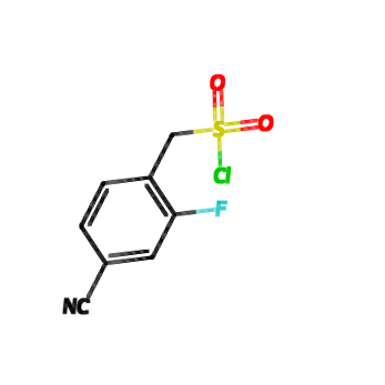 N#Cc1ccc(CS(=O)(=O)Cl)c(F)c1